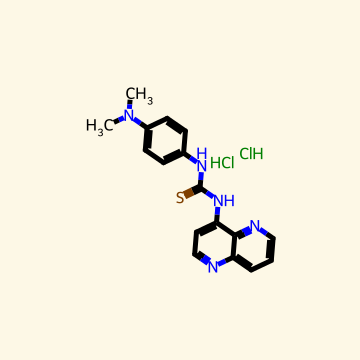 CN(C)c1ccc(NC(=S)Nc2ccnc3cccnc23)cc1.Cl.Cl